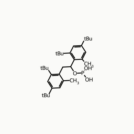 Cc1cc(C(C)(C)C)cc(C(C)(C)C)c1CC(OP(O)O)c1c(C)cc(C(C)(C)C)cc1C(C)(C)C